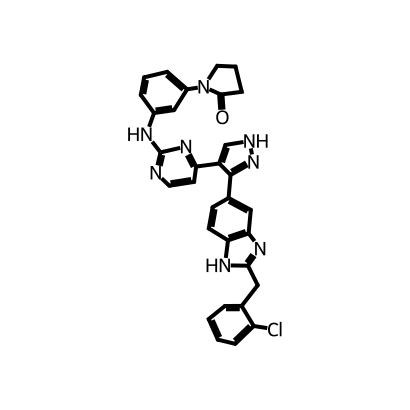 O=C1CCCN1c1cccc(Nc2nccc(-c3c[nH]nc3-c3ccc4[nH]c(Cc5ccccc5Cl)nc4c3)n2)c1